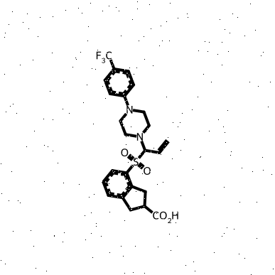 C=CC(N1CCN(c2ccc(C(F)(F)F)cc2)CC1)S(=O)(=O)c1cccc2c1CC(C(=O)O)C2